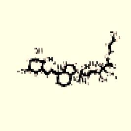 C=C1/C(=C\C=C2/CCC[C@]3(C)[C@@H](C(C)(C)/C=C/[C@H](O)C(C)(C)C(=O)OCCCC)CC[C@@H]23)C[C@@H](O)C[C@@H]1O